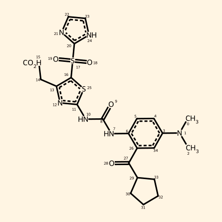 CN(C)c1ccc(NC(=O)Nc2nc(CC(=O)O)c(S(=O)(=O)c3ncc[nH]3)s2)c(C(=O)C2CCCC2)c1